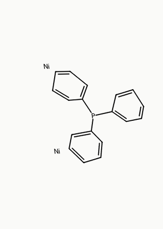 [Ni].[Ni].c1ccc(P(c2ccccc2)c2ccccc2)cc1